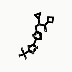 O=C(C1CCC1)N(Cc1ccc(-c2noc(C(F)(F)F)n2)s1)C1CC1